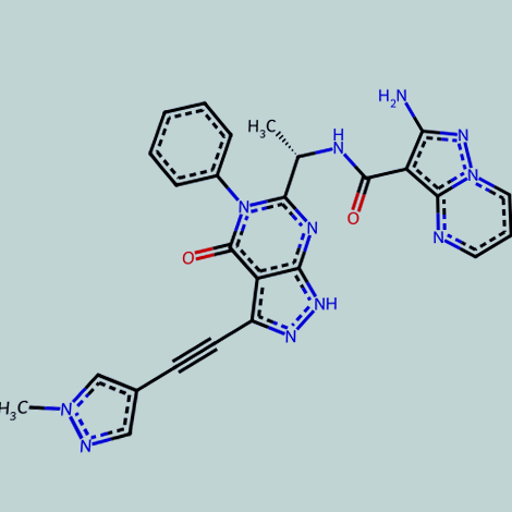 C[C@H](NC(=O)c1c(N)nn2cccnc12)c1nc2[nH]nc(C#Cc3cnn(C)c3)c2c(=O)n1-c1ccccc1